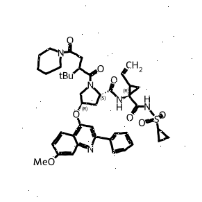 C=CC1C[C@]1(NC(=O)[C@@H]1C[C@@H](Oc2cc(-c3ccccc3)nc3cc(OC)ccc23)CN1C(=O)C(CC(=O)N1CCCCC1)C(C)(C)C)C(=O)NS(=O)(=O)C1CC1